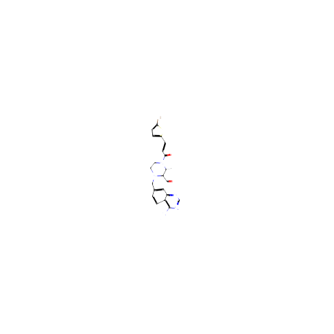 C[C@H]1C(C=O)N(Cc2ccc3c(N)ncnc3c2)CCN1C(=O)C=Cc1ccc(Br)s1